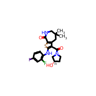 CC1(C)CNC(=O)c2sc(Nc3ccc(I)cc3F)c(C(=O)N3CC[C@H](O)C3)c2C1